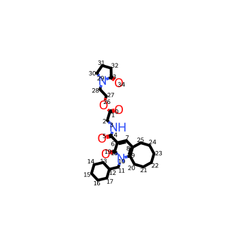 O=C(CNC(=O)c1cc2c(n(CC3CCCCC3)c1=O)CCCCCC2)OCCN1CCCC1=O